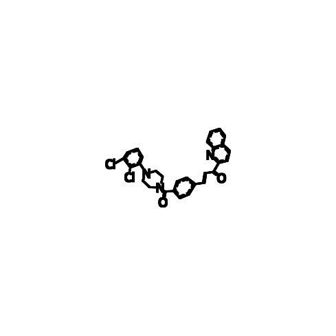 O=C(C=Cc1ccc(C(=O)N2CCN(c3cccc(Cl)c3Cl)CC2)cc1)c1ccc2ccccc2n1